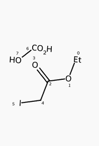 CCOC(=O)CI.O=C(O)O